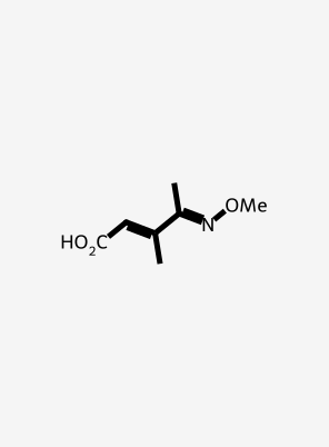 CO/N=C(C)/C(C)=C/C(=O)O